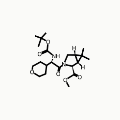 COC(=O)[C@@H]1[C@@H]2[C@H](CN1C(=O)[C@@H](NC(=O)OC(C)(C)C)C1CCOCC1)C2(C)C